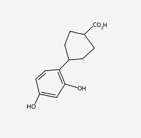 O=C(O)C1CCC(c2ccc(O)cc2O)CC1